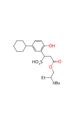 CCCCC(CC)COC(=O)CC(c1cc(C2CCCCC2)ccc1O)S(=O)(=O)O